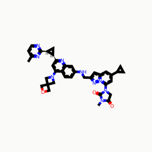 Cc1ccnc([C@H]2C[C@@H]2c2cc(N3CC4(COC4)C3)c3ccc(NCc4cc5cc(C6CC6)cc(N6CC(=O)N(C)C6=O)n5n4)cc3n2)n1